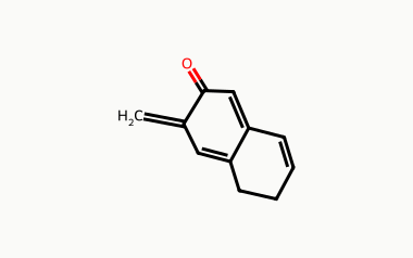 C=C1C=C2CCC=CC2=CC1=O